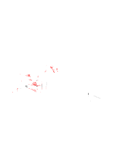 CCCCCCCCCCCCCCCC(=O)CC(O)C1OC(=O)C2=C1OC(C)(c1ccc(O)cc1O)O2